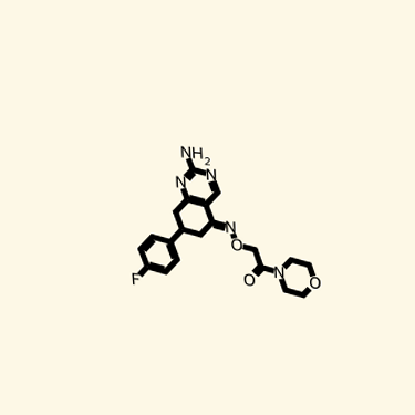 Nc1ncc2c(n1)CC(c1ccc(F)cc1)C/C2=N\OCC(=O)N1CCOCC1